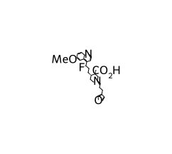 COc1ccc2nccc([C@@H](F)CC[C@@H]3CCN(CCCc4ccoc4)C[C@@H]3C(=O)O)c2c1